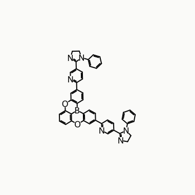 c1ccc(N2CCN=C2c2ccc(-c3ccc4c(c3)Oc3cccc5c3B4c3ccc(-c4ccc(C6=NCCN6c6ccccc6)cn4)cc3O5)nc2)cc1